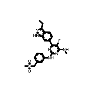 CCc1n[nH]c2cc(-c3nc(Nc4cccc(CS(C)(=O)=O)c4)nc(NC)c3F)ccc12